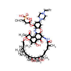 CC(=O)O[C@H]1[C@H](C)[C@H](O)[C@H](C)[C@@H](O)[C@@H](C)/C=C/C=C(/C)C(=O)Nc2c3oc4cc(N5CCN(CC(C)C)CC5)cc(OC(=O)CC(C=O)P(=O)(O)O)c4nc-3c3c4c(c(C)c(O)c3c2=O)O[C@](C)(O/C=C/[C@H](C)[C@H]1C)C4=O